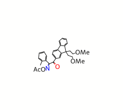 COCCC1(CCOC)c2ccccc2-c2ccc(C(=O)/C(=N/OC(C)=O)c3ccccc3C)cc21